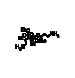 CCOC(CCCN)(OCC)O[Si](OC)(OCC)OCCCN